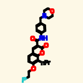 CCCc1c(OCCF)ccc2cc(C(=O)Nc3ccc(CN4CCOCC4)cc3)c(=O)oc12